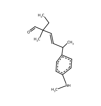 CCC(C)(C=O)/C=C/C(C)c1ccc(NC)cc1